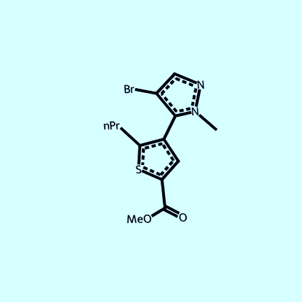 CCCc1sc(C(=O)OC)cc1-c1c(Br)cnn1C